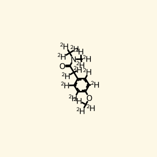 [2H]c1c([2H])c(C([2H])([2H])C(=O)N(C([2H])([2H])[2H])C([2H])([2H])[2H])c([2H])c([2H])c1OC([2H])([2H])[2H]